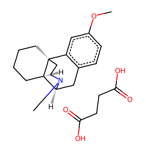 COc1ccc2c(c1)[C@]13CCCC[C@@H]1[C@H](C2)N(C)CC3.O=C(O)CCC(=O)O